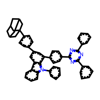 c1ccc(-c2nc(-c3ccccc3)nc(-c3ccc(-c4cc(-c5ccc(C67CC8CC(CC(C8)C6)C7)cc5)cc5c6ccccc6n(-c6ccccc6)c45)cc3)n2)cc1